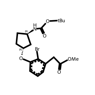 COC(=O)Cc1cccc(O[C@@H]2CC[C@@H](NC(=O)OC(C)(C)C)C2)c1Br